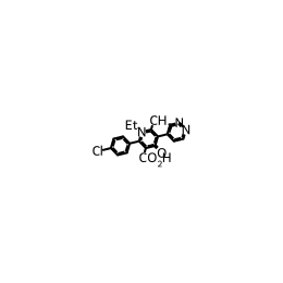 CCn1c(C)c(-c2ccnnc2)c(=O)c(C(=O)O)c1-c1ccc(Cl)cc1